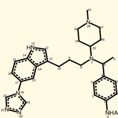 CC(=O)Nc1ccc(C(C)N(CCCc2c[nH]c3ccc(-n4cnnc4)cc23)C2CCN(C)CC2)cc1